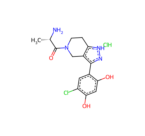 C[C@H](N)C(=O)N1CCc2[nH]nc(-c3cc(Cl)c(O)cc3O)c2C1.Cl